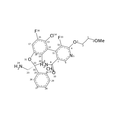 COCCOc1ncc(C(N)=O)c(-c2c(Cl)c(F)cc3c2[C@H](C)[C@@](CN)(c2ccccc2)O3)c1F